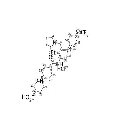 CC[C@@H]1CCCN1Cc1cc(NC(=O)c2ccc(N3CCC(C(=O)O)CC3)cc2)ncc1-c1ccc(OC(F)(F)F)cc1.Cl